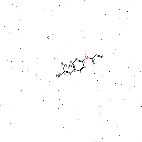 C=CC(=O)Oc1ccc(/C=C(/C#N)C(=O)O)cc1